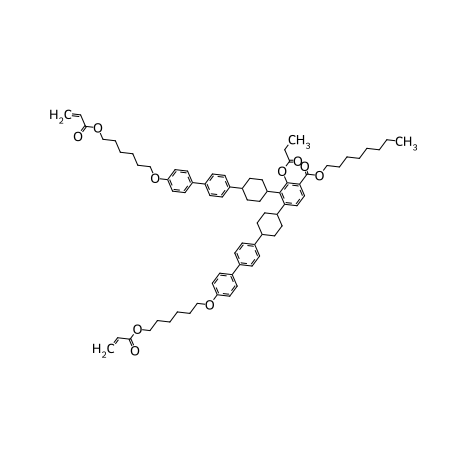 C=CC(=O)OCCCCCCOc1ccc(-c2ccc(C3CCC(c4ccc(C(=O)OCCCCCCCC)c(OC(=O)CC)c4C4CCC(c5ccc(-c6ccc(OCCCCCCOC(=O)C=C)cc6)cc5)CC4)CC3)cc2)cc1